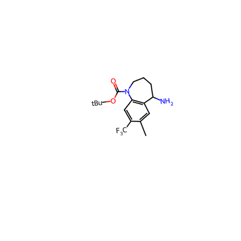 Cc1cc2c(cc1C(F)(F)F)N(C(=O)OC(C)(C)C)CCCC2N